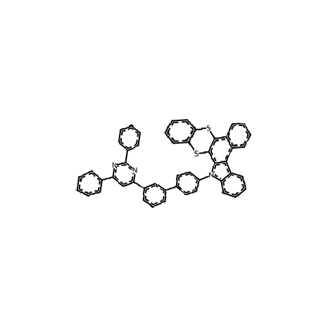 c1ccc(-c2cc(-c3cccc(-c4ccc(-n5c6ccccc6c6c7ccccc7c7c(c65)Sc5ccccc5S7)cc4)c3)nc(-c3ccccc3)n2)cc1